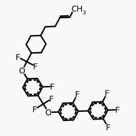 C/C=C/CCC1CCC(C(F)(F)Oc2ccc(C(F)(F)Oc3ccc(-c4cc(F)c(F)c(F)c4)c(F)c3)c(F)c2)CC1